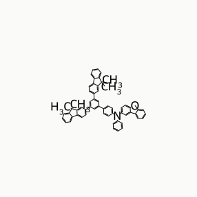 CC1(C)c2ccccc2-c2ccc(-c3cc(-c4ccc(N(c5ccccc5)c5ccc6oc7ccccc7c6c5)cc4)cc(-c4ccc5c(c4)C(C)(C)c4ccccc4-5)c3)cc21